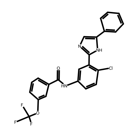 O=C(Nc1ccc(Cl)c(-c2ncc(-c3ccccc3)[nH]2)c1)c1cccc(OC(F)(F)F)c1